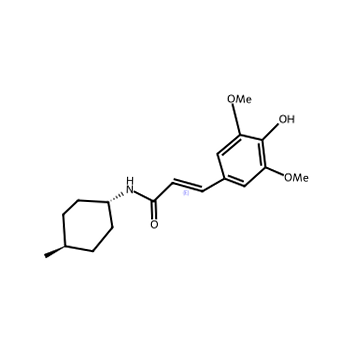 COc1cc(/C=C/C(=O)N[C@H]2CC[C@H](C)CC2)cc(OC)c1O